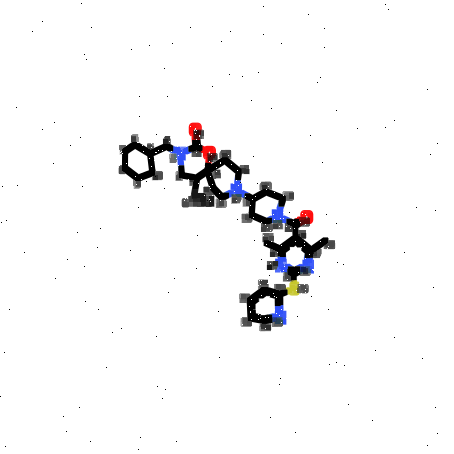 CCCCC1CN(CC2CCCCC2)C(=O)OC12CCN(C1CCN(C(=O)c3c(C)nc(Sc4ccccn4)nc3C)CC1)CC2